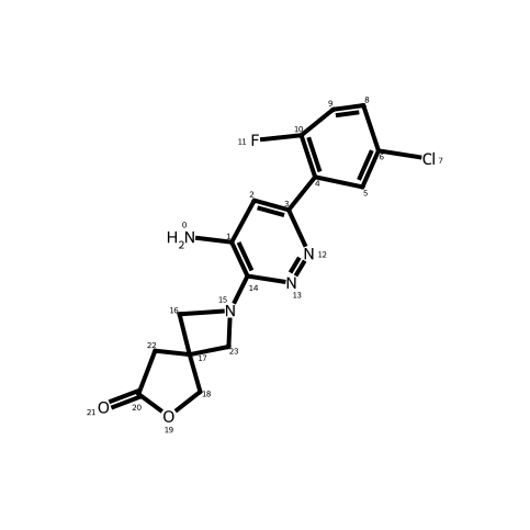 Nc1cc(-c2cc(Cl)ccc2F)nnc1N1CC2(COC(=O)C2)C1